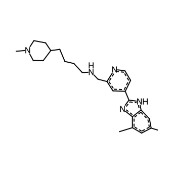 Cc1cc(C)c2nc(-c3ccnc(CNCCCCC4CCN(C)CC4)c3)[nH]c2c1